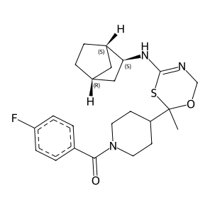 CC1(C2CCN(C(=O)c3ccc(F)cc3)CC2)OCN=C(N[C@H]2C[C@@H]3CC[C@H]2C3)S1